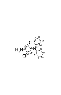 Nc1cc(Cl)c(N(c2ccccc2)c2ccccc2)cc1Cl